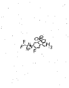 Cc1cc(F)c(-n2cnc(C(F)F)n2)cc1S(=O)(=O)Cl